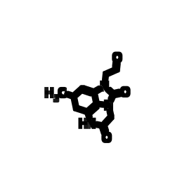 CC1C=c2c3n(c(=O)n2CC=O)CC(=O)NC=3C1